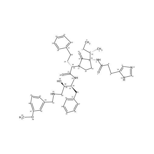 CC[C@H](C)[C@@]1(NC(=O)CCc2cnc[nH]2)CCN([C@@H](CCc2ccccc2)C(=O)N[C@@H](Cc2ccccc2)[C@H](O)CNCc2cccc(OC)c2)C1=O